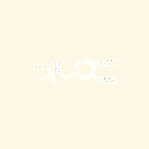 CCCC(C)(C)NCc1ccc(OC)c(OC)c1